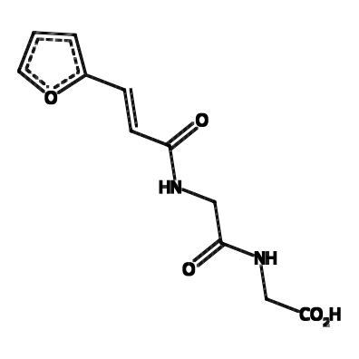 O=C(O)CNC(=O)CNC(=O)C=Cc1ccco1